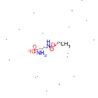 CC1CC1COC(=O)NCCCCC(N)C(=O)O